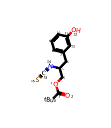 CC(C)(C)C(=O)OCC(Cc1cccc(O)c1)N=C=S